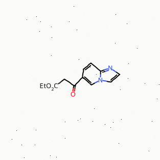 CCOC(=O)CC(=O)c1ccc2nccn2c1